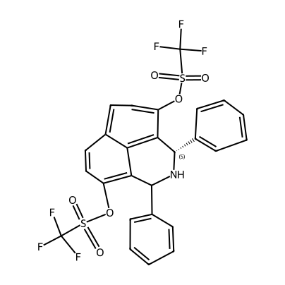 O=S(=O)(Oc1ccc2ccc(OS(=O)(=O)C(F)(F)F)c3c2c1C(c1ccccc1)N[C@H]3c1ccccc1)C(F)(F)F